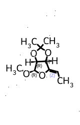 C/C=C1\O[C@@H](OC)[C@@H]2OC(C)(C)O[C@H]12